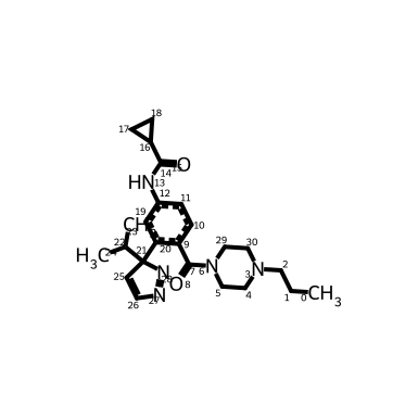 CCCN1CCN(C(=O)c2ccc(NC(=O)C3CC3)cc2C2(C(C)C)C=CN=N2)CC1